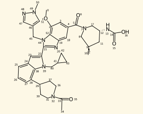 COc1cc(C(=O)N2C[C@H](F)C[C@@H](NC(=O)O)C2)cc2nc(-c3cc4cccc(C5CCN(C(C)=O)CC5)c4n3CC3CC3)n(Cc3cnn(C)c3)c12